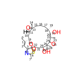 C/C(=C/c1csc(C)n1)[C@@H]1C[C@@H]2O[C@]2(C)CCC[C@H](C)[C@H](O)[C@@H](C)C(=O)C(C)(C)[C@@H](O)CC(=O)O1